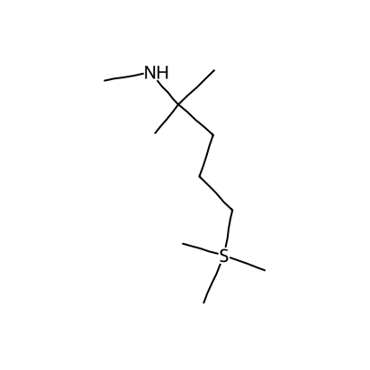 CNC(C)(C)CCCS(C)(C)C